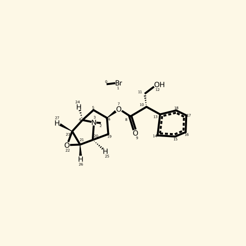 CBr.CN1[C@@H]2C[C@@H](OC(=O)[C@H](CO)c3ccccc3)C[C@H]1[C@@H]1O[C@@H]12